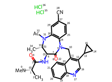 CN[C@@H](C)C(=O)N[C@@H]1C(=O)N(Cc2c(C3CC3)cnc3ccccc23)c2ccc(C#N)cc2N(C(C)=O)[C@H]1C.Cl.Cl